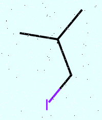 C[C](C)CI